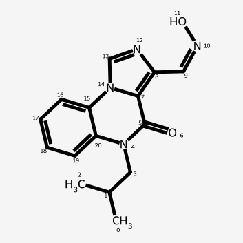 CC(C)Cn1c(=O)c2c(/C=N\O)ncn2c2ccccc21